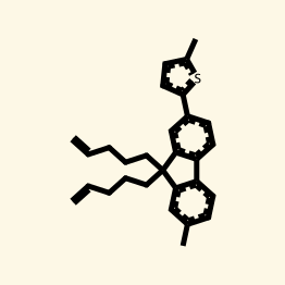 C=CCCCC1(CCCC=C)c2cc(C)ccc2-c2ccc(-c3ccc(C)s3)cc21